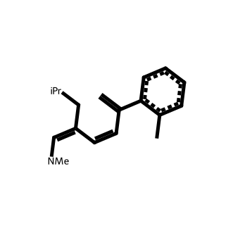 C=C(/C=C\C(=C/NC)CC(C)C)c1ccccc1C